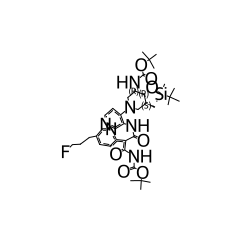 C[C@H]1CN(c2ccncc2NC(=O)c2c(NC(=O)OC(C)(C)C)oc3cc(CCCF)cnc23)C[C@@H](NC(=O)OC(C)(C)C)[C@@H]1O[Si](C)(C)C(C)(C)C